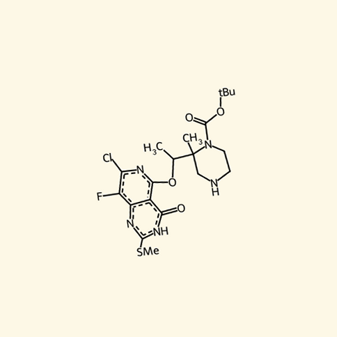 CSc1nc2c(F)c(Cl)nc(OC(C)C3(C)CNCCN3C(=O)OC(C)(C)C)c2c(=O)[nH]1